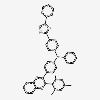 Cc1cc(C)c(-c2nc3ccccc3nc2-c2ccc(N(c3ccccc3)c3ccc(-c4nnc(-c5ccccc5)o4)cc3)cc2)c(C)c1